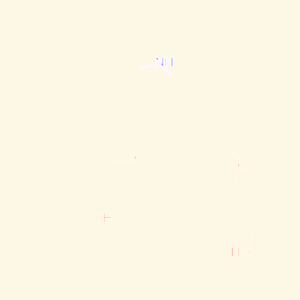 CC(C(=O)CO)c1cccc(Nc2ccc(OCCO)cc2)c1